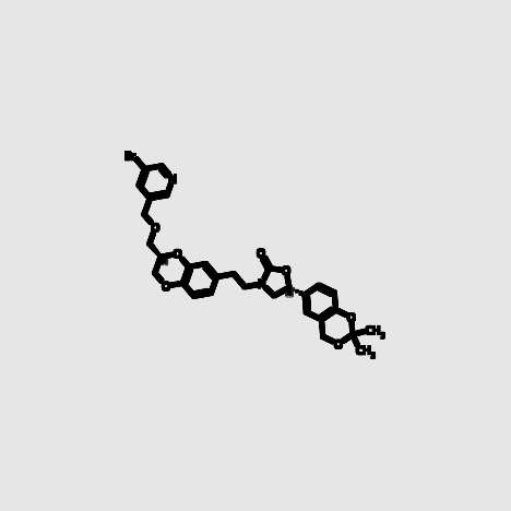 CC1(C)OCc2cc([C@@H]3CN(CCc4ccc5c(c4)O[C@H](COCc4cncc(Br)c4)CO5)C(=O)O3)ccc2O1